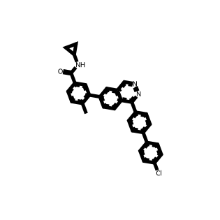 Cc1ccc(C(=O)NC2CC2)cc1-c1ccc2c(-c3ccc(-c4ccc(Cl)cc4)cc3)nncc2c1